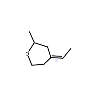 C/C=C1/CCOC(C)C1